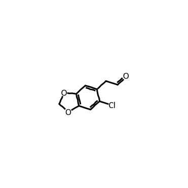 O=CCc1cc2c(cc1Cl)OCO2